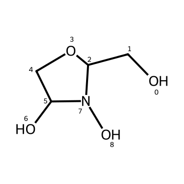 OCC1OCC(O)N1O